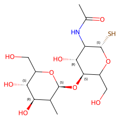 CC(=O)NC1[C@H](S)OC(CO)[C@@H](O[C@@H]2OC(CO)[C@@H](O)[C@H](O)C2C)[C@@H]1O